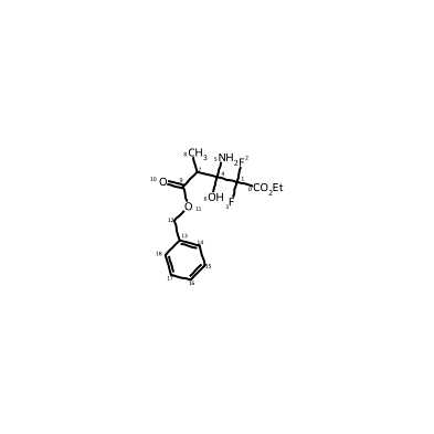 CCOC(=O)C(F)(F)C(N)(O)C(C)C(=O)OCc1ccccc1